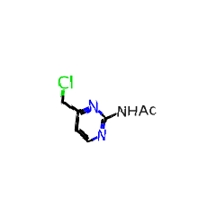 CC(=O)Nc1nccc(CCl)n1